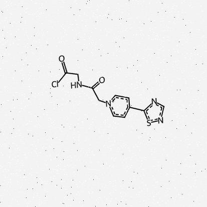 O=C(Cl)CNC(=O)C[n+]1ccc(-c2ncns2)cc1